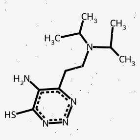 CC(C)N(CCc1nnnc(S)c1N)C(C)C